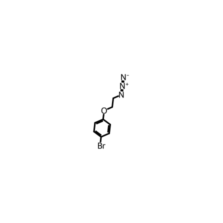 [N-]=[N+]=NCCOc1ccc(Br)cc1